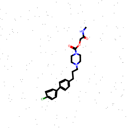 CNC(=O)COC(=O)N1CCN(CCCc2ccc(-c3ccc(Cl)cc3)cc2)CC1